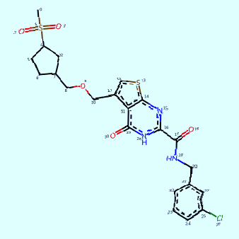 CS(=O)(=O)C1CCC(COCc2csc3nc(C(=O)NCc4cccc(Cl)c4)[nH]c(=O)c23)C1